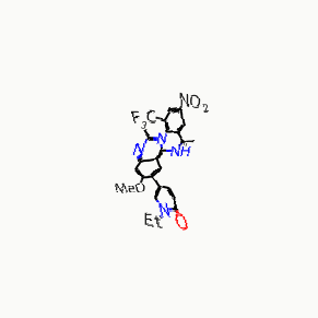 CCn1cc(-c2cc3c(N[C@H](C)c4cc([N+](=O)[O-])cc(C(F)(F)F)c4)nc(C)nc3cc2OC)ccc1=O